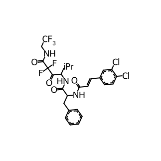 CC(C)C(NC(=O)C(Cc1ccccc1)NC(=O)C=Cc1ccc(Cl)c(Cl)c1)C(=O)C(F)(F)C(=O)NCC(F)(F)F